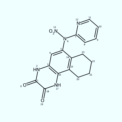 O=c1[nH]c2cc(N(c3ccccn3)[N+](=O)[O-])c3c(c2[nH]c1=O)CCCC3